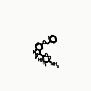 C[C@@H](NC(=O)c1c2cc(OCc3ccccn3)ccc2nn1C)C(N)=O